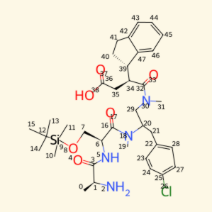 C[C@H](N)C(=O)N[C@@H](CO[Si](C)(C)C(C)(C)C)C(=O)N(C)C(Cc1ccc(Cl)cc1)CN(C)C(=O)[C@@H](CC(=O)O)[C@@H]1CCc2ccccc21